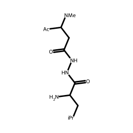 CNC(CC(=O)NNC(=O)C(N)CC(C)C)C(C)=O